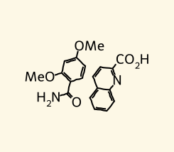 COc1ccc(C(N)=O)c(OC)c1.O=C(O)c1ccc2ccccc2n1